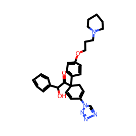 O=C(C(O)c1ccccc1)C1(c2ccc(OCCCN3CCCCC3)cc2)C=CC(n2cnnn2)=CC1